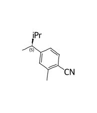 Cc1cc([C@@H](C)C(C)C)ccc1C#N